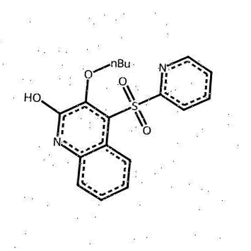 CCCCOc1c(O)nc2ccccc2c1S(=O)(=O)c1ccccn1